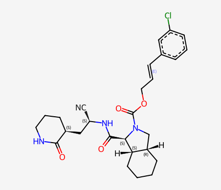 N#C[C@H](C[C@@H]1CCCNC1=O)NC(=O)[C@@H]1[C@H]2CCCC[C@H]2CN1C(=O)OC/C=C/c1cccc(Cl)c1